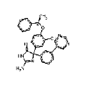 Cc1cc(C2(c3cccc(-c4cncnc4)c3)N=C(N)NC2=O)ccc1O[C@H](C)c1ccccc1